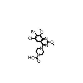 COc1nc(N2CCN(C(=O)O)CC2)c2cc(Cl)c(Br)c(OC)c2n1